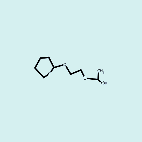 CC(OCCOC1CCCCC1)C(C)(C)C